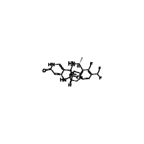 C[C@@H](NC(=O)c1c[nH]c(=O)cc1N[C@H]1CN2CCC1CC2)c1cccc(C(F)F)c1F